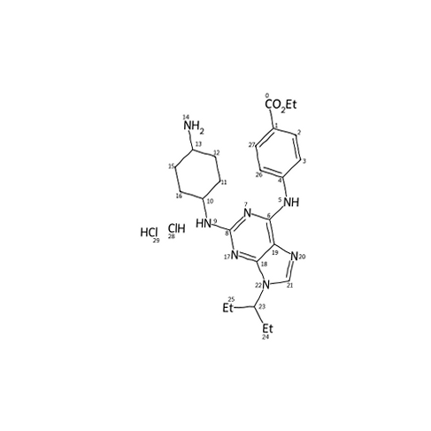 CCOC(=O)c1ccc(Nc2nc(NC3CCC(N)CC3)nc3c2ncn3C(CC)CC)cc1.Cl.Cl